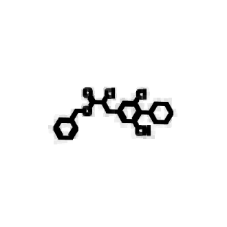 N#Cc1cc(CC(Cl)C(=O)OCc2ccccc2)cc(Cl)c1C1CCCCC1